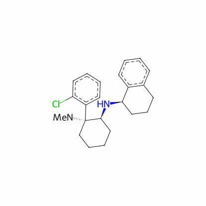 CN[C@@]1(c2ccccc2Cl)CCCC[C@@H]1N[C@@H]1CCCc2ccccc21